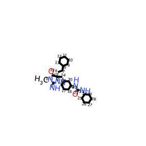 CN1C(=N)N[C@](CCC2CCCCC2)(C[C@H]2CCC[C@@H](NC(=O)NC3CCCCC3)C2)C1=O